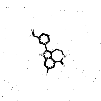 O=Cc1cccc(-c2[nH]c3cc(F)cc4c3c2CCNC4=O)c1